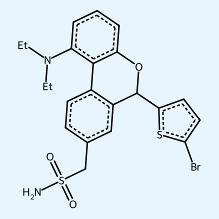 CCN(CC)c1cccc2c1-c1ccc(CS(N)(=O)=O)cc1C(c1ccc(Br)s1)O2